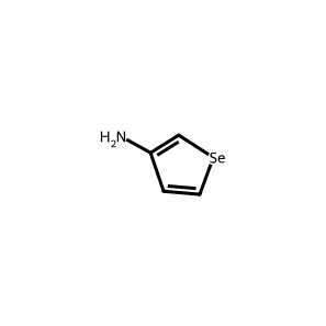 Nc1cc[se]c1